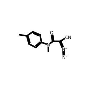 Cc1ccc(N(C)C(=O)C(C#N)=[N+]=[N-])cc1